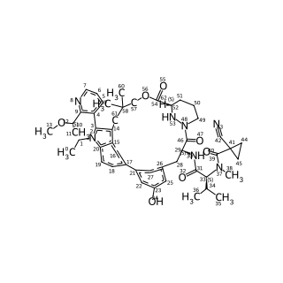 CCn1c(-c2cccnc2[C@H](C)OC)c2c3cc(ccc31)-c1cc(O)cc(c1)C[C@H](NC(=O)[C@H](C(C)C)N(C)C(=O)C1(C#N)CC1)C(=O)N1CCC[C@H](N1)C(=O)OCC(C)(C)C2